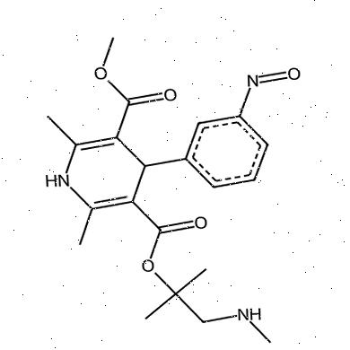 CNCC(C)(C)OC(=O)C1=C(C)NC(C)=C(C(=O)OC)C1c1cccc(N=O)c1